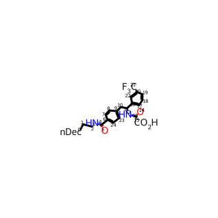 CCCCCCCCCCCCNC(=O)c1ccc(CC(NC(=O)C(=O)O)c2cccc(C(F)(F)F)c2)cc1